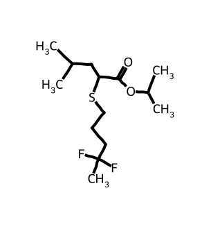 CC(C)CC(SCCCC(C)(F)F)C(=O)OC(C)C